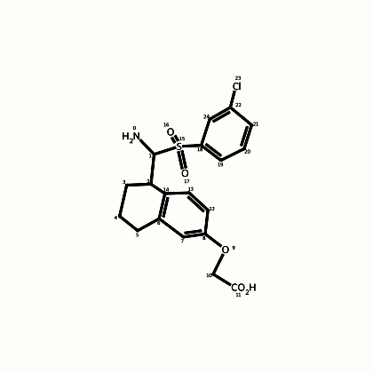 NC(C1CCCc2cc(OCC(=O)O)ccc21)S(=O)(=O)c1cccc(Cl)c1